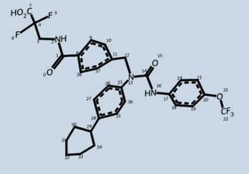 O=C(NCC(F)(F)C(=O)O)c1ccc(CN(C(=O)Nc2ccc(OC(F)(F)F)cc2)c2ccc(C3CCCCC3)cc2)cc1